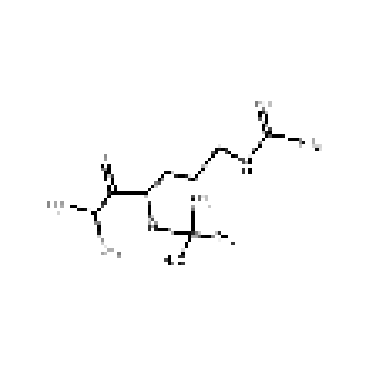 CC(C)C(=O)C(CCCNC(=N)N)NC(C)(C)C